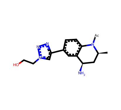 CC(=O)N1c2ccc(-c3cn(CCO)nn3)cc2[C@H](N)C[C@@H]1C